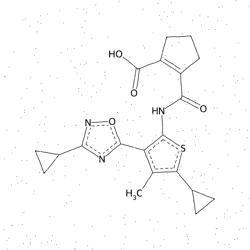 Cc1c(C2CC2)sc(NC(=O)C2=C(C(=O)O)CCC2)c1-c1nc(C2CC2)no1